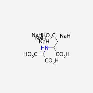 O=C(O)CC(NC(C(=O)O)C(=O)O)C(=O)O.[NaH].[NaH].[NaH].[NaH]